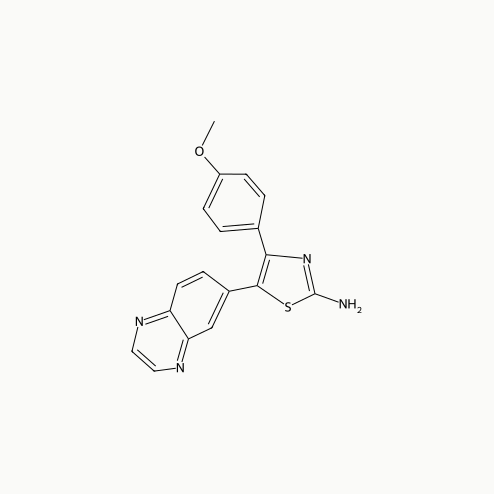 COc1ccc(-c2nc(N)sc2-c2ccc3nccnc3c2)cc1